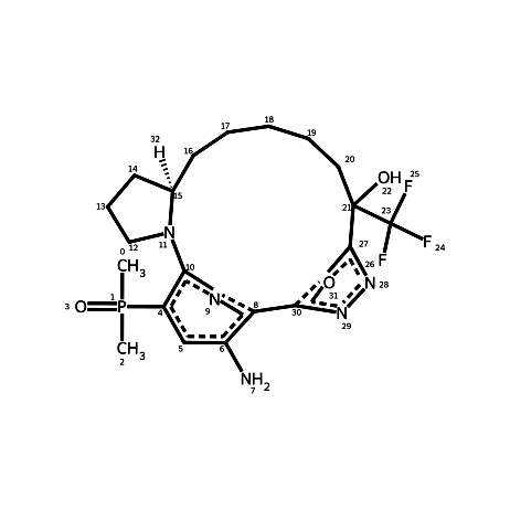 CP(C)(=O)c1cc(N)c2nc1N1CCC[C@H]1CCCCCC(O)(C(F)(F)F)c1nnc-2o1